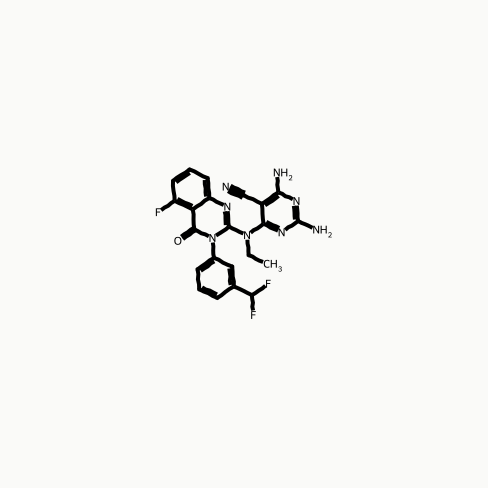 CCN(c1nc(N)nc(N)c1C#N)c1nc2cccc(F)c2c(=O)n1-c1cccc(C(F)F)c1